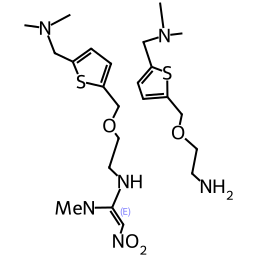 CN(C)Cc1ccc(COCCN)s1.CN/C(=C\[N+](=O)[O-])NCCOCc1ccc(CN(C)C)s1